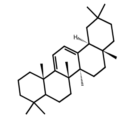 CC1(C)CC[C@]2(C)CC[C@]3(C)C(=CC=C4[C@@]5(C)CCCC(C)(C)C5CC[C@]43C)[C@H]2C1